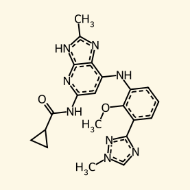 COc1c(Nc2cc(NC(=O)C3CC3)nc3[nH]c(C)nc23)cccc1-c1ncn(C)n1